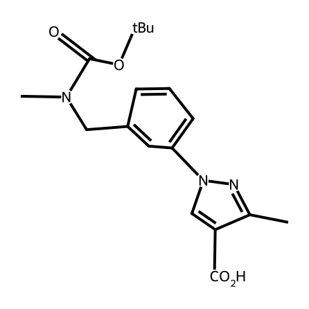 Cc1nn(-c2cccc(CN(C)C(=O)OC(C)(C)C)c2)cc1C(=O)O